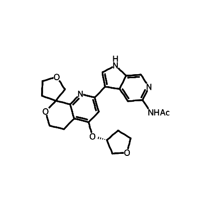 CC(=O)Nc1cc2c(-c3cc(O[C@@H]4CCOC4)c4c(n3)C3(CCOC3)OCC4)c[nH]c2cn1